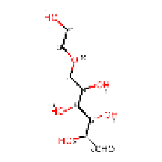 O=C[C@H](O)[C@@H](O)[C@H](O)[C@H](O)COCCO